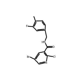 Cc1ccc(CNC(=O)c2cc(Br)cnc2Cl)cc1F